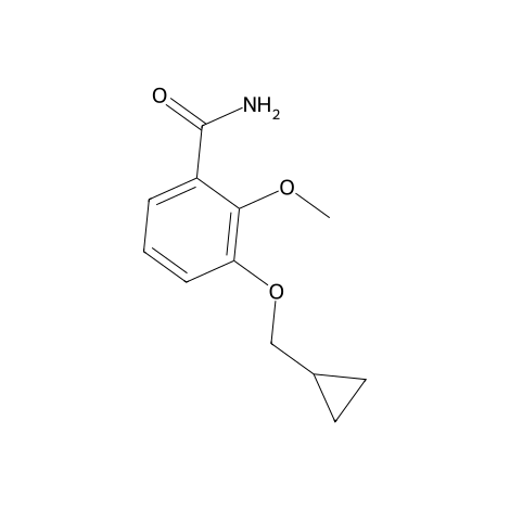 COc1c(OCC2CC2)cccc1C(N)=O